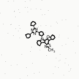 Cc1nc2c(s1)c1c3ccccc3oc1c1c2c2ccccc2n1-c1cccc(-c2nc(-c3ccccc3)nc(-c3ccccc3)n2)c1